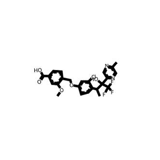 COc1cc(C(=O)O)ccc1COc1ccc(C(C)C(O)(c2cnc(C)cn2)C(F)(F)F)c(Cl)c1